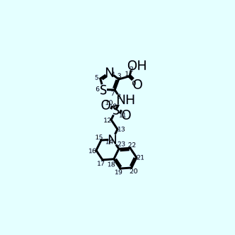 O=C(O)c1ncsc1NS(=O)(=O)CCN1CCCc2ccccc21